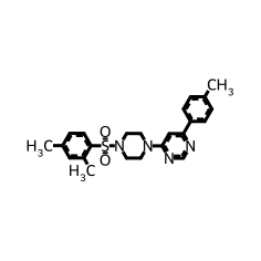 Cc1ccc(-c2cc(N3CCN(S(=O)(=O)c4ccc(C)cc4C)CC3)ncn2)cc1